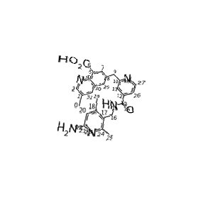 Cc1cnc2c(C(=O)O)cc(Cc3cc(C(=O)NCc4c(C)cc(N)nc4C)ccn3)cc2c1